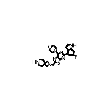 Fc1cc(-c2nc(N3CCOCC3)c3nc(CN4CC5(CCNCC5)C4)sc3n2)c2cc[nH]c2c1